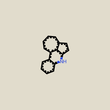 c1ccc2c3ccccc3[nH]c3ccc(c1)c32